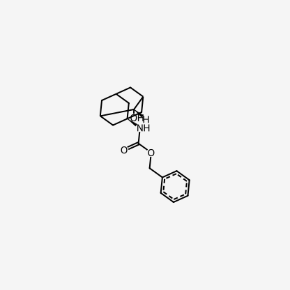 O=C(N[C@]12CC3CC(C1)[C@@H](O)C(C3)C2)OCc1ccccc1